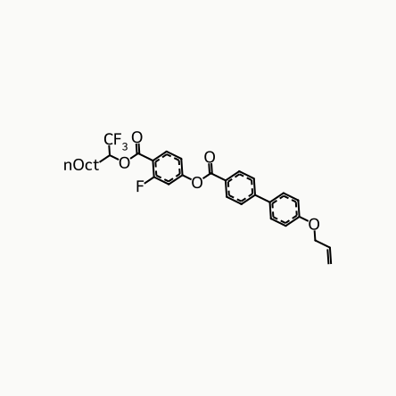 C=CCOc1ccc(-c2ccc(C(=O)Oc3ccc(C(=O)OC(CCCCCCCC)C(F)(F)F)c(F)c3)cc2)cc1